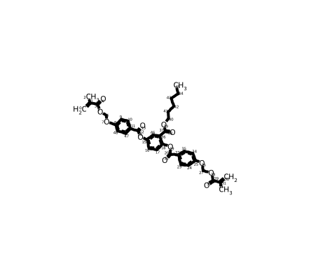 C=C(C)C(=O)OCOc1ccc(C(=O)Oc2ccc(OC(=O)c3ccc(OCOC(=O)C(=C)C)cc3)c(C(=O)OCCCCCC)c2)cc1